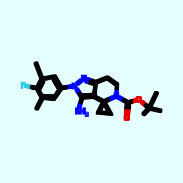 Cc1cc(-n2nc3c(c2N)C2(CC2)N(C(=O)OC(C)(C)C)CC3)cc(C)c1F